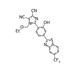 CCOCn1c(-c2ccc(-c3nc4cc(C(F)(F)F)ccc4s3)cc2O)nc(C#N)c1C#N